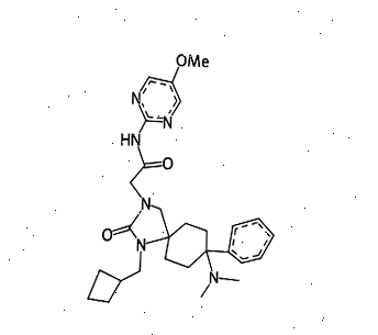 COc1cnc(NC(=O)CN2CC3(CCC(c4ccccc4)(N(C)C)CC3)N(CC3CCC3)C2=O)nc1